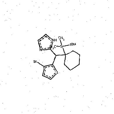 CC(C)(C)[Si](C)(C)C1(C(c2ncc[nH]2)c2sccc2Br)CCCCC1